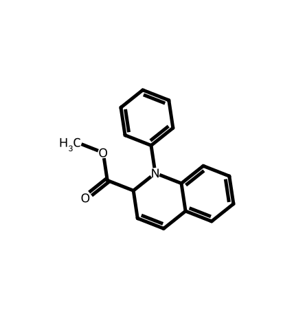 COC(=O)C1C=Cc2ccccc2N1c1ccccc1